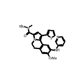 COc1cc2c(cc1Nc1cccnc1)-c1c(-c3cccs3)cc(C(=O)N(C)C(C)(C)C)n1CC2